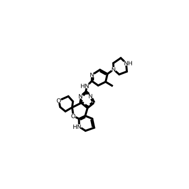 CC1CC(Nc2ncc3c(n2)C2(CCOCC2)OC2=C3C=CCN2)=NC=C1N1CCNCC1